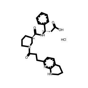 Cl.O=C(O)C[C@H](NC(=O)[C@@H]1CCCN(C(=O)CCc2ccc3c(n2)NCCC3)C1)c1ccccc1